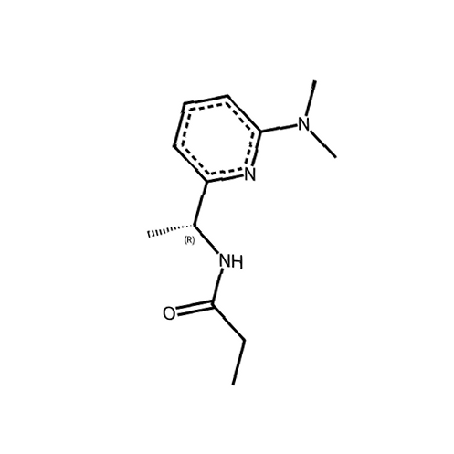 CCC(=O)N[C@H](C)c1cccc(N(C)C)n1